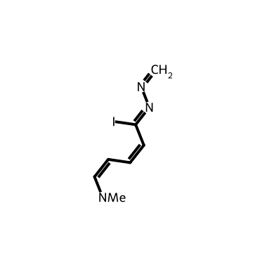 C=N/N=C(I)/C=C\C=C/NC